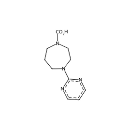 O=C(O)N1CCCN(c2ncccn2)CC1